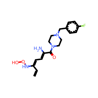 C=C/C(=C\C=C(/N)C(=O)N1CCN(Cc2ccc(F)cc2)CC1)NOO